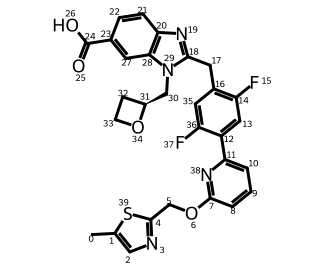 Cc1cnc(COc2cccc(-c3cc(F)c(Cc4nc5ccc(C(=O)O)cc5n4C[C@@H]4CCO4)cc3F)n2)s1